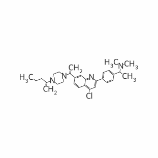 C=C(CCC)N1CCN(C(=C)c2ccc3c(Cl)cc(-c4ccc(C(C)N(C)C)cc4)nc3c2)CC1